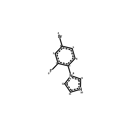 Fc1cc(Br)ccc1-n1[c]ncc1